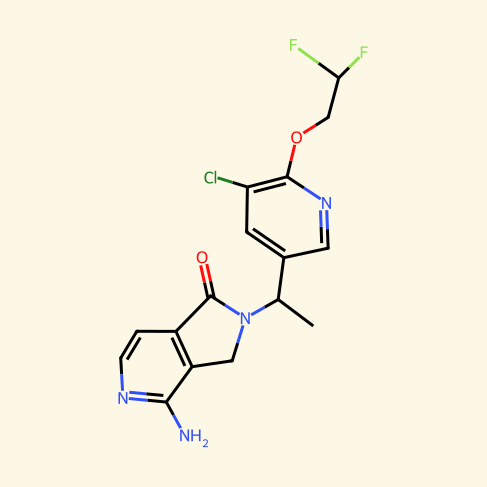 CC(c1cnc(OCC(F)F)c(Cl)c1)N1Cc2c(ccnc2N)C1=O